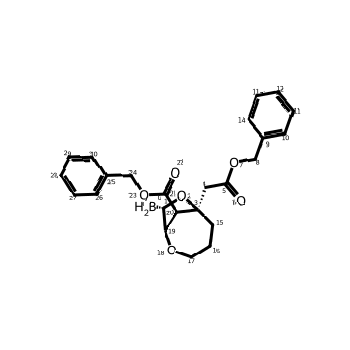 B[C@@H]1O[C@@]2(CC(=O)OCc3ccccc3)CCCOC1C2C(=O)OCc1ccccc1